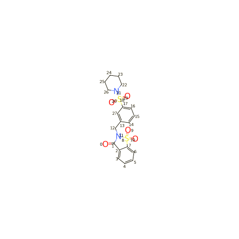 O=C1c2ccccc2S(=O)(=O)N1Cc1cccc(S(=O)(=O)N2CCCCC2)c1